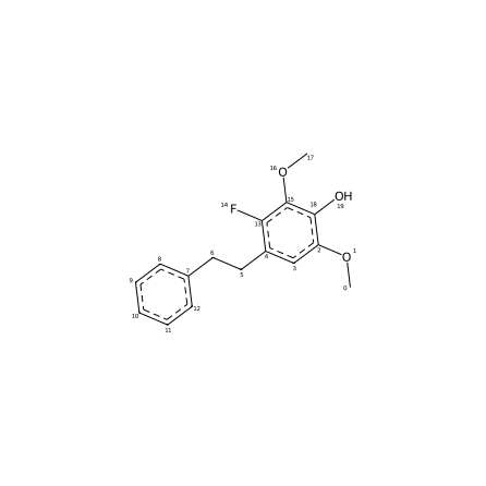 COc1cc(CCc2ccccc2)c(F)c(OC)c1O